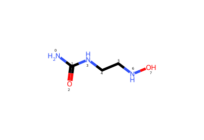 NC(=O)NCCNO